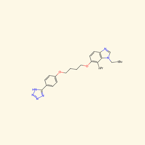 CCCc1c(OCCCCOc2ccc(-c3nnn[nH]3)cc2)ccc2ncn(CC(C)(C)C)c12